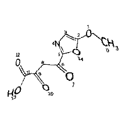 COc1cnc(C(=O)CC(=O)C(=O)O)o1